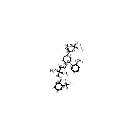 Cc1ccccc1[C@@H]1CN(C(=O)OC(C)(C)C)CC[C@H]1OC(=O)C(C)(C)COc1ncccc1C(F)(F)F